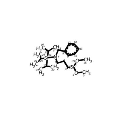 CO[SiH](CCCN(Cc1ccccc1)[Si](C(C)C)(C(C)C)C(C)C)OC